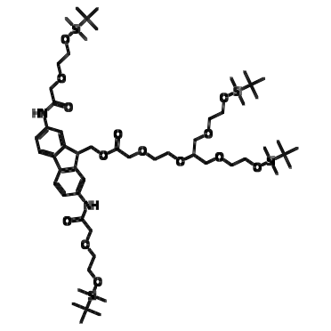 CC(C)(C)[Si](C)(C)OCCOCC(=O)Nc1ccc2c(c1)C(COC(=O)COCCOC(COCCO[Si](C)(C)C(C)(C)C)COCCO[Si](C)(C)C(C)(C)C)c1cc(NC(=O)COCCO[Si](C)(C)C(C)(C)C)ccc1-2